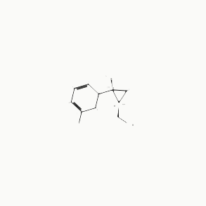 O=C(O)[C@@]1(C2C=CC=C(F)C2)C[C@H]1CO